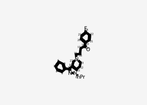 CCCn1nc(-c2ccccc2)c2c1CCN(CCCC(=O)c1ccc(F)cc1)C2